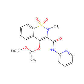 CCOC(=O)O[C@@H](C)OC1=C(C(=O)Nc2ccccn2)N(C)S(=O)(=O)c2ccccc21